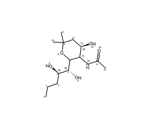 CCC[C@@H](O)[C@@H](O)C1OC(C)(C)C[C@@H](O)C1NC(C)=O